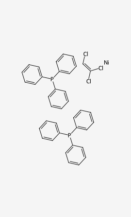 ClC=C(Cl)Cl.[Ni].c1ccc(P(c2ccccc2)c2ccccc2)cc1.c1ccc(P(c2ccccc2)c2ccccc2)cc1